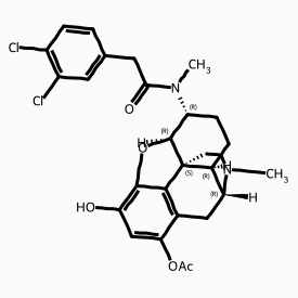 CC(=O)Oc1cc(O)c2c3c1C[C@@H]1[C@@H]4CC[C@@H](N(C)C(=O)Cc5ccc(Cl)c(Cl)c5)[C@H](O2)[C@]34CCN1C